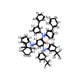 CC(C)(C)c1cccc(N2c3cc(C(C)(C)C)ccc3B3c4ccc(-c5ccccc5)cc4N(c4cccc(-c5ccccc5)c4)c4cc(N5c6ccccc6C6(C)CCCCC56C)cc2c43)c1